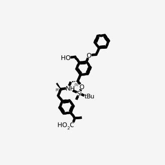 CC(C(=O)O)c1ccc(C[C@@H](C)NC[C@@H](O[Si](C)(C)C(C)(C)C)c2ccc(OCc3ccccc3)c(CO)c2)cc1